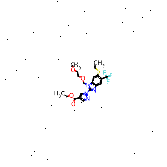 CCOC(=O)c1cnn(-c2nc3cc(C(F)(F)F)c(SCC)cc3n2COCCOC)c1